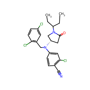 CCC(CC)N1C[C@@H](N(Cc2cc(Cl)ccc2Cl)c2ccc(C#N)c(Cl)c2)CC1=O